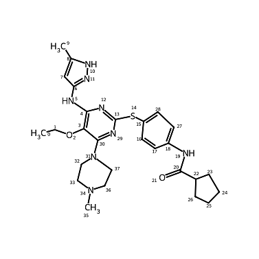 CCOc1c(Nc2cc(C)[nH]n2)nc(Sc2ccc(NC(=O)C3CCCC3)cc2)nc1N1CCN(C)CC1